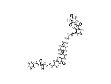 O=C(/C=C/c1cccnc1)NCCCCC1CCN(C(=O)c2ccc(N3CCN(CCCCCC#Cc4cccc5c4CN(C4CCC(=O)NC4=O)C5=O)CC3)cc2)CC1